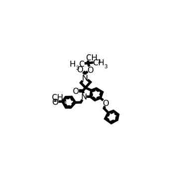 COc1ccc(CN2C(=O)C3(CN(C(=O)OC(C)(C)C)C3)c3ccc(OCc4ccccc4)cc32)cc1